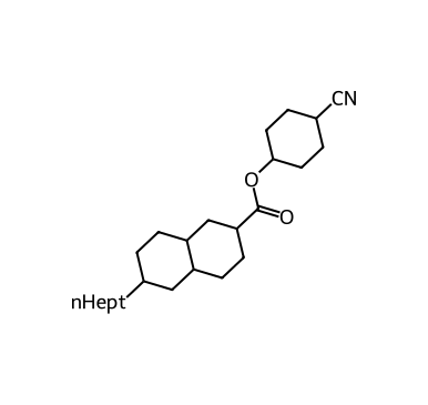 CCCCCCCC1CCC2CC(C(=O)OC3CCC(C#N)CC3)CCC2C1